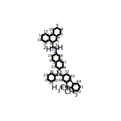 [2H]/C(=C(/[2H])c1cc2ccccc2c2ccccc12)c1ccc2cc(N(c3ccccc3)c3ccc4c(c3)C(C)(C)c3ccccc3-4)ccc2c1